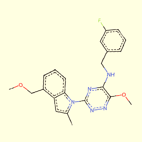 COCc1cccc2c1cc(C)n2-c1nnc(OC)c(NCc2cccc(F)c2)n1